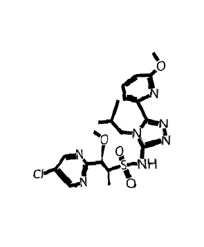 COc1cccc(-c2nnc(NS(=O)(=O)[C@@H](C)[C@H](OC)c3ncc(Cl)cn3)n2CC(C)C)n1